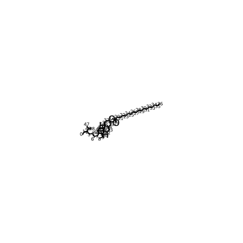 C/C=C(\CC[C@@H](C)[C@H]1CC[C@H]2[C@@H]3CC=C4C[C@@H](OC(=O)CCCCCCCCCCCCCCCCC)CC[C@]4(C)[C@H]3CC[C@]12C)C(C)C